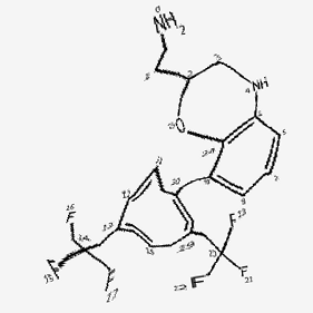 NCC1CNc2cccc(-c3ccc(C(F)(F)F)cc3C(F)(F)F)c2O1